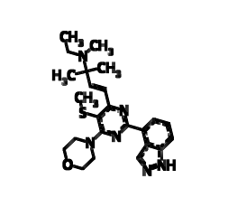 CCN(C)C(C)(C)/C=C/c1nc(-c2cccc3[nH]ncc23)nc(N2CCOCC2)c1SC